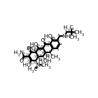 C[C@H]1c2ccc(CNCC(C)(C)C)c(O)c2C(=O)C2=C(O)[C@]3(O)C(=O)C(C(N)=O)=C(O)[C@@H](N(C)C)[C@@H]3[C@@H](O)[C@@H]21